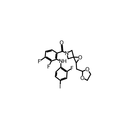 O=C(c1ccc(F)c(F)c1Nc1ccc(I)cc1F)N1CC2(C1)OC2CC1OCCO1